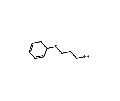 NCCCSC1C=CC=CC1